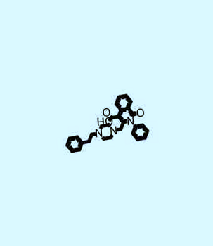 O=C(O)c1c(CN2CCN(CCc3ccccc3)CC2)n(-c2ccccc2)c(=O)c2ccccc12